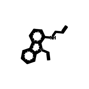 C=CCNc1cccc2c3ccccc3n(C=C)c12